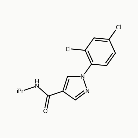 CC(C)NC(=O)c1cnn(-c2ccc(Cl)cc2Cl)c1